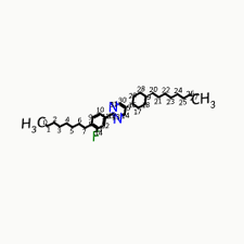 CCCCCCCCc1ccc(-c2ncc([C@H]3CC[C@H](CCCCCCCC)CC3)cn2)cc1F